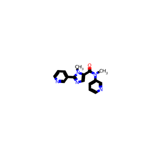 CN(C(=O)c1cnc(-c2cccnc2)n1C)c1cccnc1